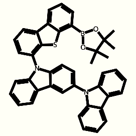 CC1(C)OB(c2cccc3c2sc2c(-n4c5ccccc5c5cc(-n6c7ccccc7c7ccccc76)ccc54)cccc23)OC1(C)C